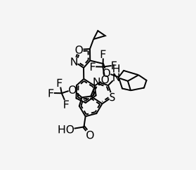 O=C(O)c1cc(OC(F)(F)F)c2nc(NC3C4CCC3CC(OCc3c(-c5ccccc5OC(F)(F)F)noc3C3CC3)C4)sc2c1